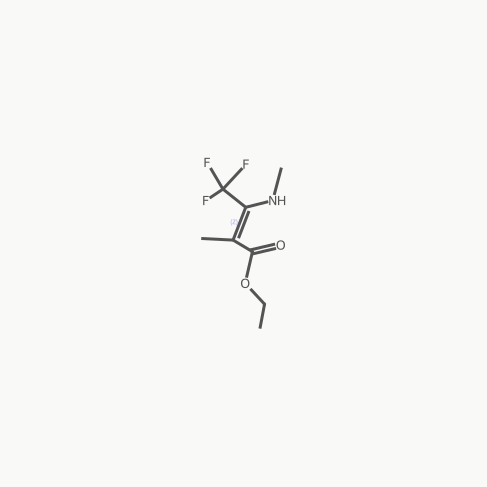 CCOC(=O)/C(C)=C(\NC)C(F)(F)F